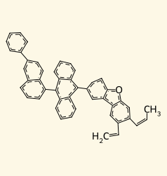 C=Cc1cc2c(cc1/C=C\C)oc1ccc(-c3c4ccccc4c(-c4cccc5cc(-c6ccccc6)ccc45)c4ccccc34)cc12